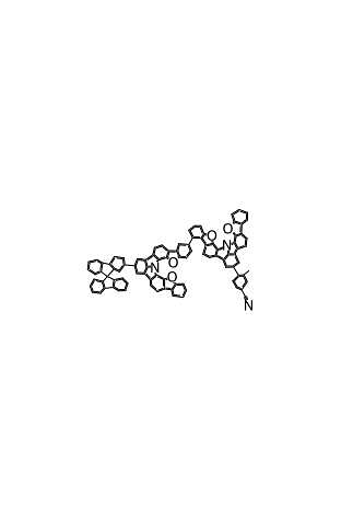 Cc1cc(C#N)ccc1-c1cc2c3ccc4c5ccccc5oc4c3n3c2c(c1)c1ccc2c(oc4cccc(-c5ccc6oc7c(ccc8c9cc(-c%10ccc%11c(c%10)C%10(c%12ccccc%12-c%12ccccc%12%10)c%10ccccc%10-%11)cc%10c%11ccc%12c%13ccccc%13oc%12c%11n(c%109)c87)c6c5)c42)c13